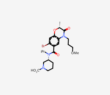 COCCCN1C(=O)[C@@H](C)Oc2cc(Br)c(C(=O)N(C(C)C)[C@@H]3CCCN(C(=O)O)C3)cc21